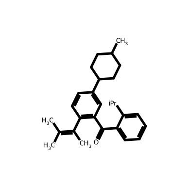 CC(C)=C(C)c1ccc(C2CCC(C)CC2)cc1C(=O)c1ccccc1C(C)C